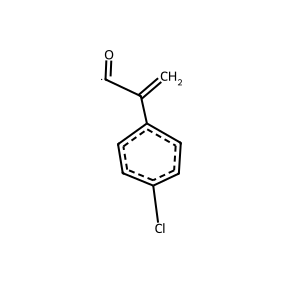 C=C([C]=O)c1ccc(Cl)cc1